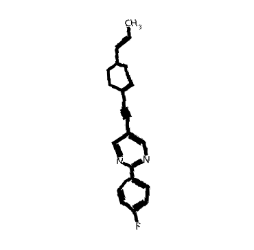 CC=CC1CCC(C#Cc2cnc(-c3ccc(F)cc3)nc2)CC1